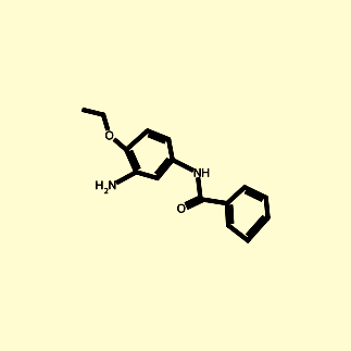 CCOc1ccc(NC(=O)c2ccccc2)cc1N